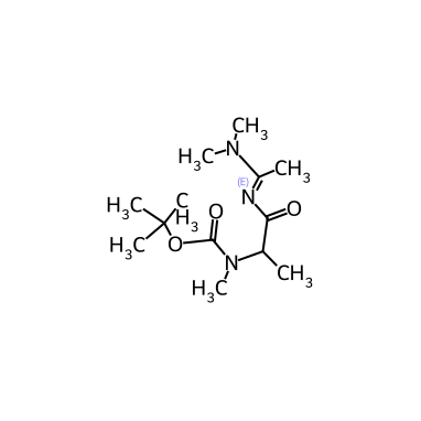 C/C(=N\C(=O)C(C)N(C)C(=O)OC(C)(C)C)N(C)C